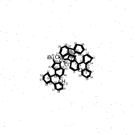 CCC(C)C1=Cc2c(ccc(C)c2-c2ccccc2-c2ccccc2)[CH]1[Zr]([Cl])([Cl])([c]1cccc2c1[SiH2]c1ccccc1-2)[CH]1C(C(C)CC)=Cc2c1ccc(C)c2-c1ccccc1-c1ccccc1